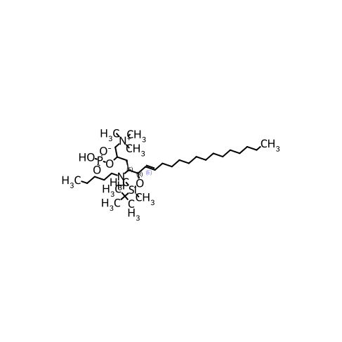 CCCCCCCCCCCCC/C=C/[C@@H](O[Si](C)(C)C(C)(C)C)[C@H](CC(C[N+](C)(C)C)OP(=O)([O-])O)NCCCCC